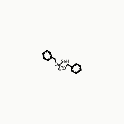 [Se]=P([SeH])(OCc1ccccc1)OCc1ccccc1